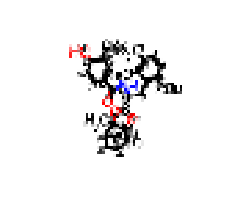 COc1c(C(=O)O)ccc(C(C)(C)C)c1C[C@H](NC(=O)c1ccc(O)c(OC(C)=O)c1)B1OC2CC3CC(C3(C)C)C2(C)O1